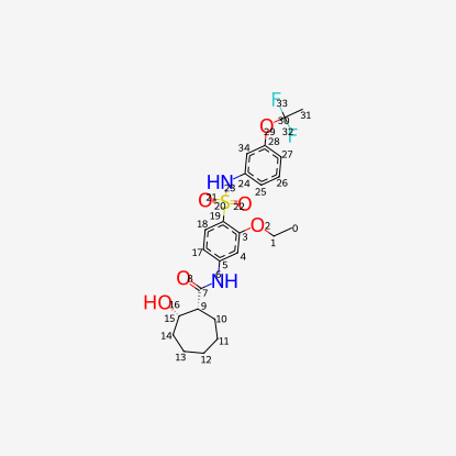 CCOc1cc(NC(=O)[C@@H]2CCCCC[C@@H]2O)ccc1S(=O)(=O)Nc1cccc(OC(C)(F)F)c1